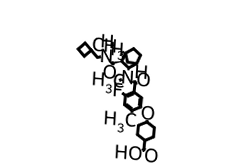 Cc1cc(F)c(C(=O)N(C)[C@@H]2[C@H]3CC[C@H](C3)[C@@H]2C(=O)NCC2(C)CCC2)cc1OC1CCC(C(=O)O)CC1